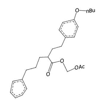 CCCCOc1ccc(CCC(CCCc2ccccc2)C(=O)OCOC(C)=O)cc1